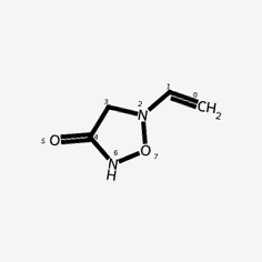 C=CN1CC(=O)NO1